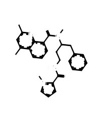 Cc1cc(C)c2cccc(C(=O)N(C)C(CCNC(=O)c3cccn3C)Cc3ccccc3)c2n1